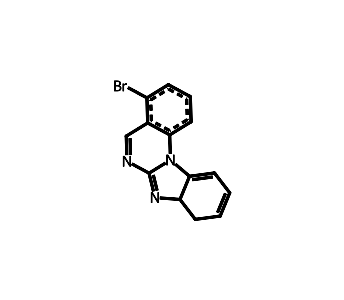 Brc1cccc2c1C=NC1=NC3CC=CC=C3N12